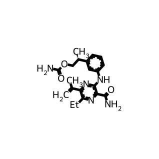 C=C(C)c1nc(Nc2cccc([C@@H](C)COC(N)=O)c2)c(C(N)=O)nc1CC